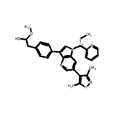 CC[C@H](c1ccccn1)n1cc(-c2ccc(CC(O)OC)cc2)c2ncc(-c3c(C)noc3C)cc21